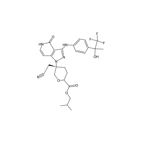 CC(C)COC(=O)C1CC[C@@](CC#N)(n2nc(Nc3ccc(C(C)(O)C(F)(F)F)cc3)c3c(=O)[nH]ccc32)CO1